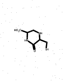 O=C(O)C1CNC(CS)C(=O)N1